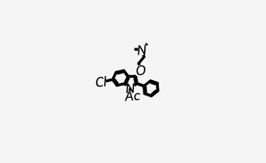 CC(=O)n1c(-c2ccccc2)c(OCCN(C)C)c2ccc(Cl)cc21